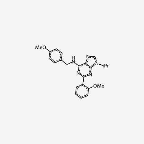 COc1ccc(CNc2nc(-c3ccccc3OC)nc3c2ncn3C(C)C)cc1